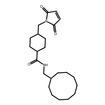 O=C(NCC1CCCCCCCCC1)C1CCC(CN2C(=O)C=CC2=O)CC1